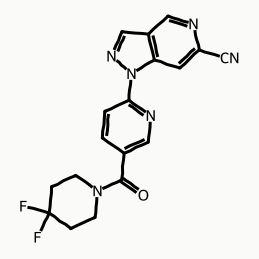 N#Cc1cc2c(cn1)cnn2-c1ccc(C(=O)N2CCC(F)(F)CC2)cn1